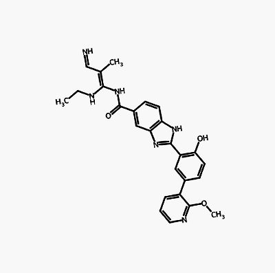 CCN/C(NC(=O)c1ccc2[nH]c(-c3cc(-c4cccnc4OC)ccc3O)nc2c1)=C(/C)C=N